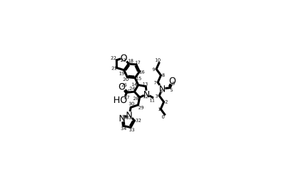 CCCCN(C=O)CCCC.CN1CC(c2ccc3c(c2)CCO3)C(C(=O)O)C1CCn1cccn1